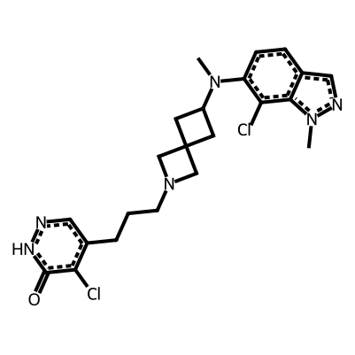 CN(c1ccc2cnn(C)c2c1Cl)C1CC2(C1)CN(CCCc1cn[nH]c(=O)c1Cl)C2